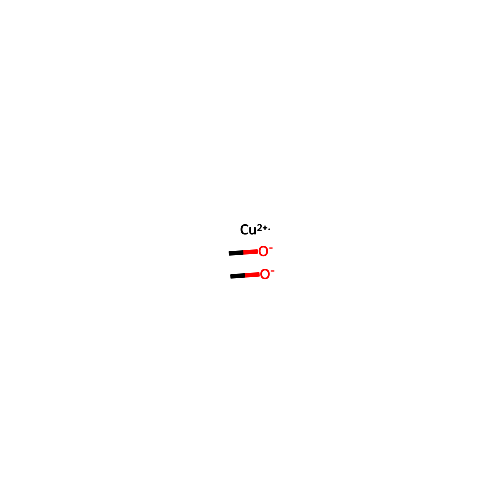 C[O-].C[O-].[Cu+2]